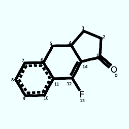 O=C1CCC2Cc3ccccc3C(F)=C12